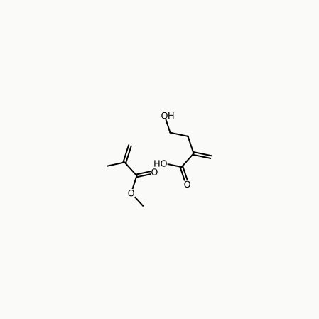 C=C(C)C(=O)OC.C=C(CCO)C(=O)O